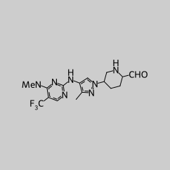 CNc1nc(Nc2cn(C3CCC(C=O)NC3)nc2C)ncc1C(F)(F)F